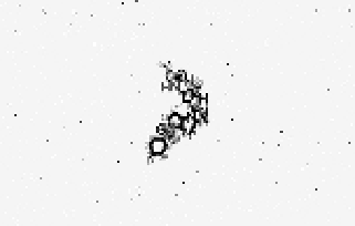 CCOC(=O)N[C@@H]1C[C@H](c2nnc3cnc4c(ccn4S(=O)(=O)c4ccc(C)cc4)n23)[C@@H]2C[C@@H]21